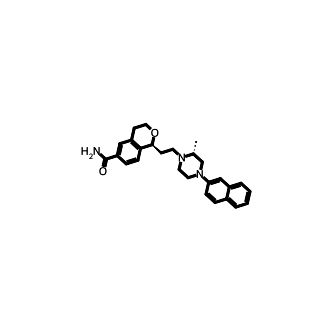 C[C@@H]1CN(c2ccc3ccccc3c2)CCN1CC[C@@H]1OCCc2cc(C(N)=O)ccc21